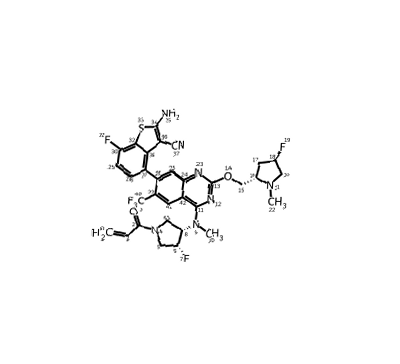 C=CC(=O)N1C[C@@H](F)[C@@H](N(C)c2nc(OC[C@@H]3C[C@@H](F)CN3C)nc3cc(-c4ccc(F)c5sc(N)c(C#N)c45)c(C(F)(F)F)cc23)C1